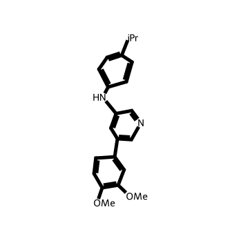 COc1ccc(-c2cncc(Nc3ccc(C(C)C)cc3)c2)cc1OC